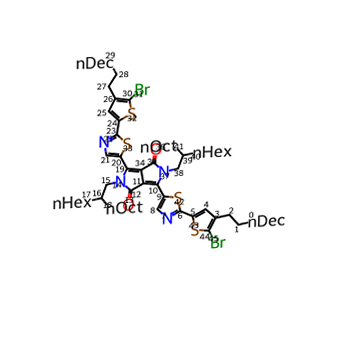 CCCCCCCCCCCCc1cc(-c2ncc(C3=C4C(=O)N(CC(CCCCCC)CCCCCCCC)C(c5cnc(-c6cc(CCCCCCCCCCCC)c(Br)s6)s5)=C4C(=O)N3CC(CCCCCC)CCCCCCCC)s2)sc1Br